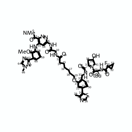 CNC(=O)c1nnc(NC(=O)CNC(=O)CCCCCCOc2cc(-c3scnc3C)ccc2CNC(=O)[C@@H]2C[C@@H](O)CN2C(=O)[C@@H](NC(=O)C2(F)CC2)C(C)(C)C)cc1Nc1cccc(-c2ncn(C)n2)c1OC